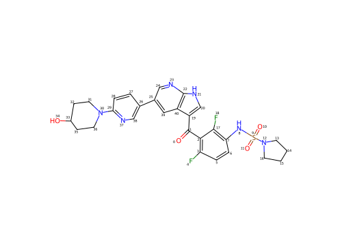 O=C(c1c(F)ccc(NS(=O)(=O)N2CCCC2)c1F)c1c[nH]c2ncc(-c3ccc(N4CCC(O)CC4)nc3)cc12